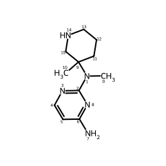 CN(c1nccc(N)n1)C1(C)CCCNC1